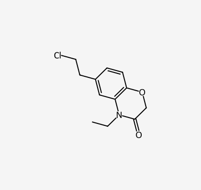 CCN1C(=O)COc2ccc(CCCl)cc21